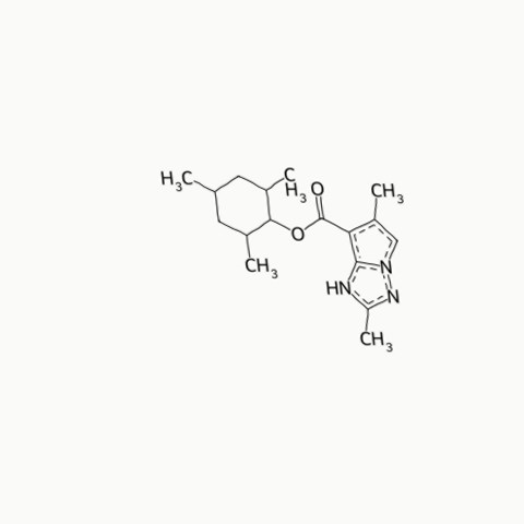 Cc1nn2cc(C)c(C(=O)OC3C(C)CC(C)CC3C)c2[nH]1